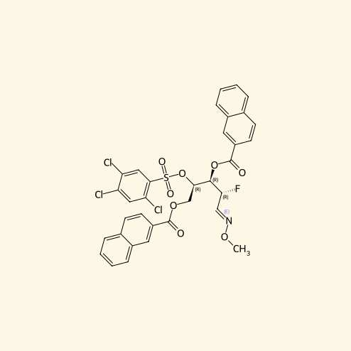 CO/N=C/[C@@H](F)[C@H](OC(=O)c1ccc2ccccc2c1)[C@@H](COC(=O)c1ccc2ccccc2c1)OS(=O)(=O)c1cc(Cl)c(Cl)cc1Cl